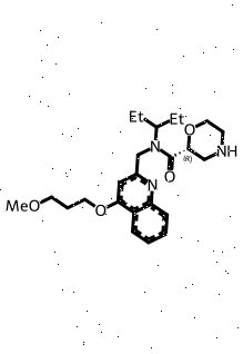 CCC(CC)N(Cc1cc(OCCCOC)c2ccccc2n1)C(=O)[C@H]1CNCCO1